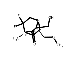 COC[C@]1(CO)C(=O)[C@@]2(C)CCN1CC2(F)F